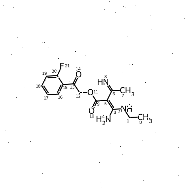 CCN/C(N)=C(\C(C)=N)C(=O)OCC(=O)c1ccccc1F